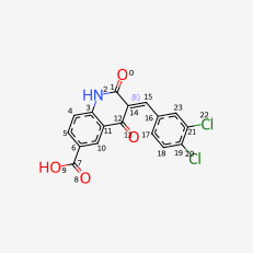 O=C1Nc2ccc(C(=O)O)cc2C(=O)/C1=C\c1ccc(Cl)c(Cl)c1